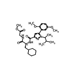 COC(=O)CNC(=O)[C@H](CC1CCCCC1)NC(=O)c1cc(-c2cc(OC)ccc2OC)n(C(C)C(C)C)n1